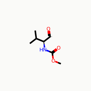 COC(=O)N[C@H]([C]=O)C(C)C